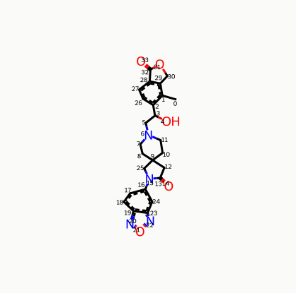 Cc1c(C(O)CN2CCC3(CC2)CC(=O)N(c2ccc4nonc4c2)C3)ccc2c1COC2=O